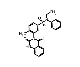 CCN(c1ccccc1)S(=O)(=O)c1ccc(C)c(-n2c(=O)[nH]c3ccccc3c2=O)c1